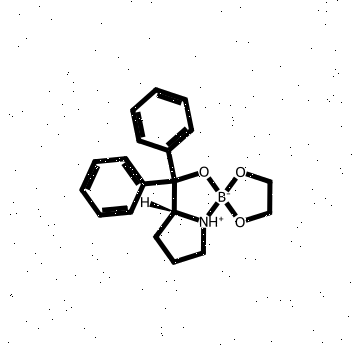 c1ccc(C2(c3ccccc3)O[B-]3(OCCO3)[NH+]3CCC[C@@H]32)cc1